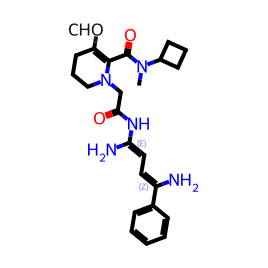 CN(C(=O)C1=C(C=O)CCCN1CC(=O)N/C(N)=C/C=C(\N)c1ccccc1)C1CCC1